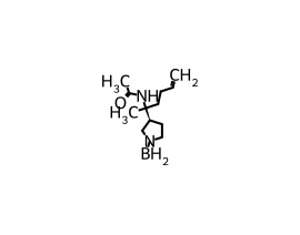 BN1CC[C@H](C(C)(CCC=C)NC(C)=O)C1